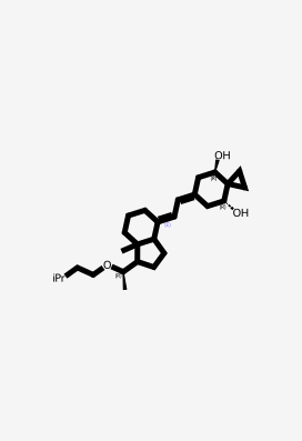 CC(C)CCO[C@H](C)C1CCC2/C(=C/C=C3C[C@@H](O)C4(CC4)[C@H](O)C3)CCCC21C